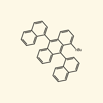 CCCCc1cccc2c(-c3cccc4ccccc34)c3ccccc3c(-c3cccc4ccccc34)c12